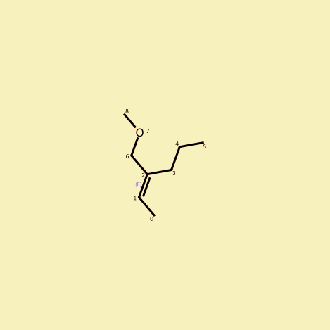 C/C=C(\CCC)COC